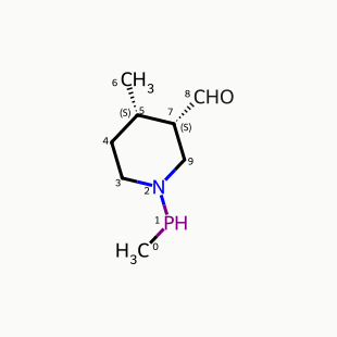 CPN1CC[C@H](C)[C@H](C=O)C1